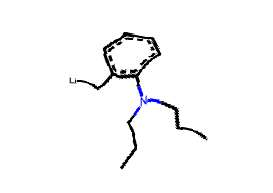 [Li][CH2]c1ccccc1N(CCC)CCC